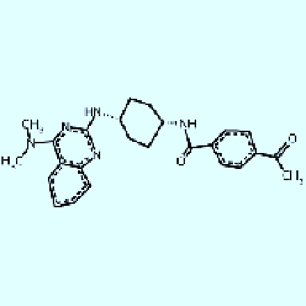 CC(=O)c1ccc(C(=O)N[C@H]2CC[C@@H](Nc3nc(N(C)C)c4ccccc4n3)CC2)cc1